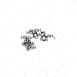 N.Nc1ncnc2c1ncn2[C@@H]1O[C@H](COP(=O)(O)OP(=O)(O)OP(=O)(O)O)[C@@H](O)[C@H]1O